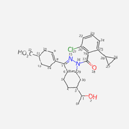 CC(O)C1CCc2c(C3=CCC(C(=O)O)CC3)nn(C(=O)c3c(Cl)cccc3C3CC3)c2C1